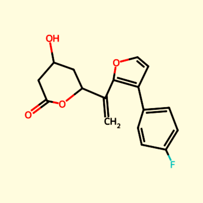 C=C(c1occc1-c1ccc(F)cc1)C1CC(O)CC(=O)O1